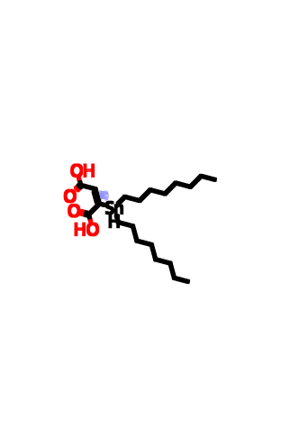 CCCCCCC[CH2][SnH]([CH2]CCCCCCC)/[C](=C/C(=O)O)C(=O)O